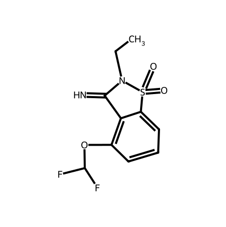 CCN1C(=N)c2c(OC(F)F)cccc2S1(=O)=O